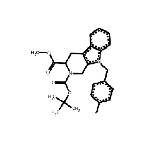 COC(=O)C1Cc2c(n(Cc3ccc(F)cc3)c3ccccc23)CN1C(=O)OC(C)(C)C